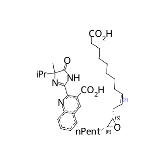 CC(C)C1(C)N=C(c2nc3ccccc3cc2C(=O)O)NC1=O.CCCCC[C@H]1O[C@H]1C/C=C\CCCCCCCC(=O)O